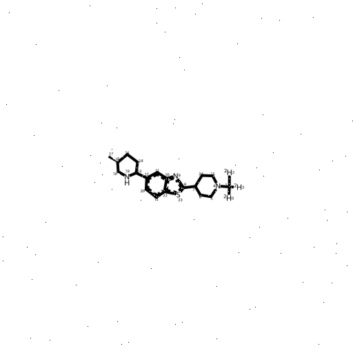 [2H]C([2H])([2H])N1CCC(c2nc3cc(C4CC[C@H](C)CN4)ccc3s2)CC1